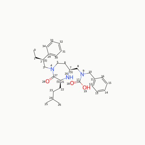 CC[C@H](CN1CC[C@@H](CN(Cc2ccccc2)C(=O)O)N[C@@H](CCC(C)C)C1=O)c1ccccc1